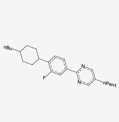 CCCCCc1cnc(-c2ccc(C3CCC(CCCC)CC3)c(F)c2)nc1